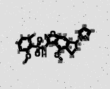 COc1cccc(C)c1S(=O)(=O)Nc1noc2cc3c(c(OC)c12)CCC3n1cccn1